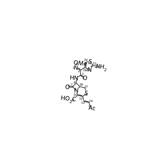 CON=C(C(=O)NC1C(=O)N2C(C(=O)O)=C(C=CC(C)=O)SCC12)c1csc(N)n1